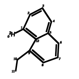 [2H]c1cccc2cccc(CC)c12